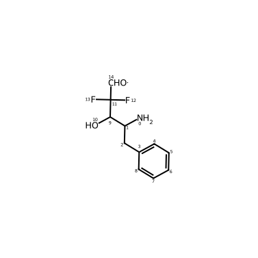 NC(Cc1ccccc1)C(O)C(F)(F)[C]=O